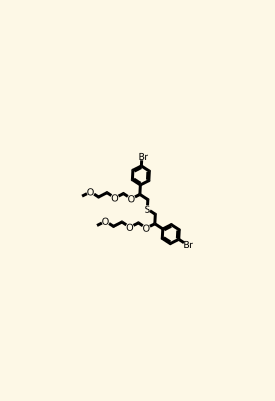 COCCOCOC(CSCC(OCOCCOC)c1ccc(Br)cc1)c1ccc(Br)cc1